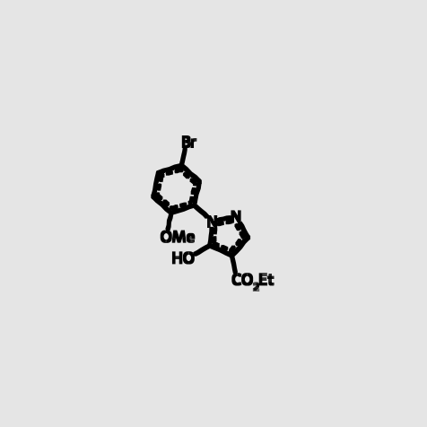 CCOC(=O)c1cnn(-c2cc(Br)ccc2OC)c1O